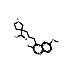 COc1ccc2ncc(F)c(CCCC3(C(=O)O)CCNC3)c2c1